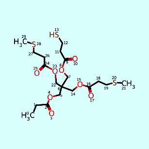 CCC(=O)OCC(COC(=O)CCS)(COC(=O)CCSC)COC(=O)CCSC